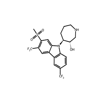 CS(=O)(=O)c1cc2c(cc1C(F)(F)F)c1cc(C(F)(F)F)ccc1n2[C@H]1CCCNC[C@@H]1O